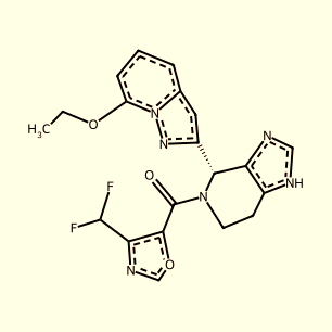 CCOc1cccc2cc([C@@H]3c4nc[nH]c4CCN3C(=O)c3ocnc3C(F)F)nn12